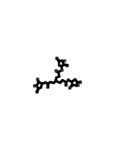 O=C1CC(OC(=O)CCN(CCC(=O)OC2CC(=O)NC2=O)CCC(=O)OC2CC(=O)NC2=O)C(=O)N1